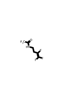 O=C(NCCC(F)=C(F)F)C(F)(F)F